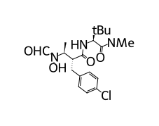 CNC(=O)[C@@H](NC(=O)[C@H](Cc1ccc(Cl)cc1)[C@H](C)N(O)C=O)C(C)(C)C